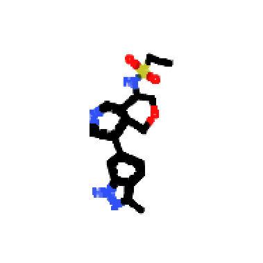 CCS(=O)(=O)NC1COCc2c(-c3ccc4c(C)n[nH]c4c3)cncc21